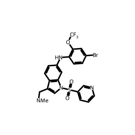 CNCc1cn(S(=O)(=O)c2cccnc2)c2cc(Nc3ccc(Br)cc3OC(F)(F)F)ccc12